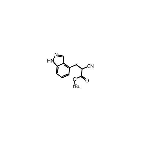 CC(C)(C)OC(=O)C(C#N)Cc1cccc2[nH]ncc12